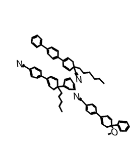 CCCCCC1(c2ccccc2)C=CC(c2ccc(C#N)cc2)=CC1.CCCCCCC1(C#N)C=CC(c2ccc(-c3ccccc3)cc2)=CC1.COC1(c2ccccc2)C=CC(c2ccc(C#N)cc2)=CC1